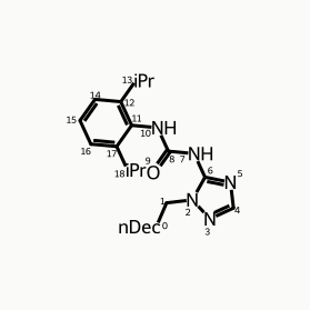 CCCCCCCCCCCn1ncnc1NC(=O)Nc1c(C(C)C)cccc1C(C)C